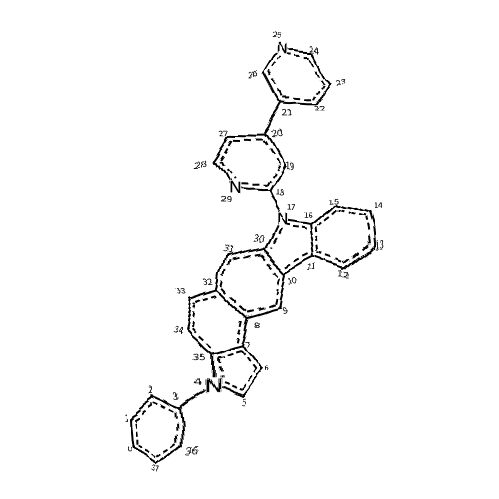 c1ccc(-n2ccc3c4cc5c6ccccc6n(-c6cc(-c7cccnc7)ccn6)c5cc4ccc32)cc1